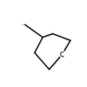 [CH2]C1CCCCC1